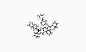 c1ccc(-c2ccc(N(c3ccc4oc5ccccc5c4c3)c3cc4c(cc3-c3ccccc3)c3ccccc3n4-c3ccc4ccccc4c3)cc2)cc1